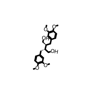 COc1ccc(C[C@@H](CO)[C@@H](CO)Cc2ccc(OC)c(OC)c2)cc1OC